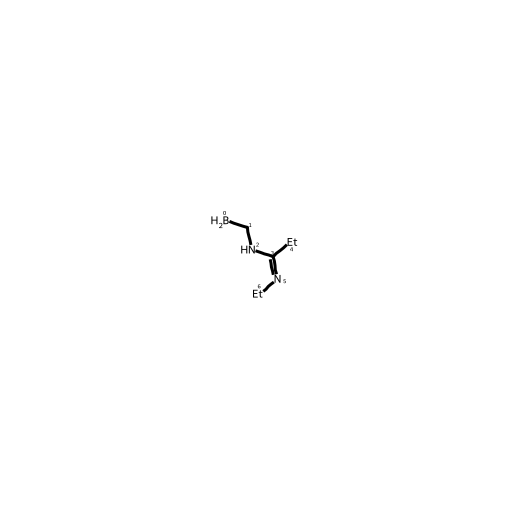 BCN/C(CC)=N\CC